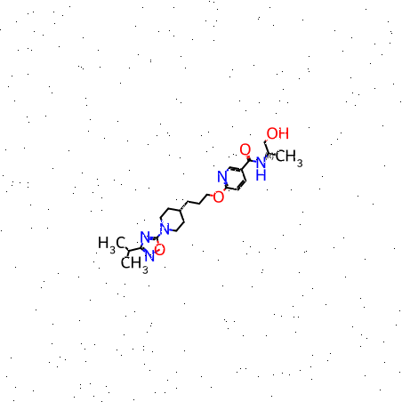 CC(C)c1noc(N2CCC(CCCOc3ccc(C(=O)N[C@H](C)CO)cn3)CC2)n1